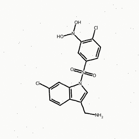 NCc1cn(S(=O)(=O)c2ccc(Cl)c(N(O)O)c2)c2cc(Cl)ccc12